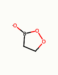 [O]B1CCOO1